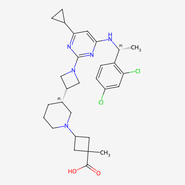 C[C@@H](Nc1cc(C2CC2)nc(N2CC([C@H]3CCCN(C4CC(C)(C(=O)O)C4)C3)C2)n1)c1ccc(Cl)cc1Cl